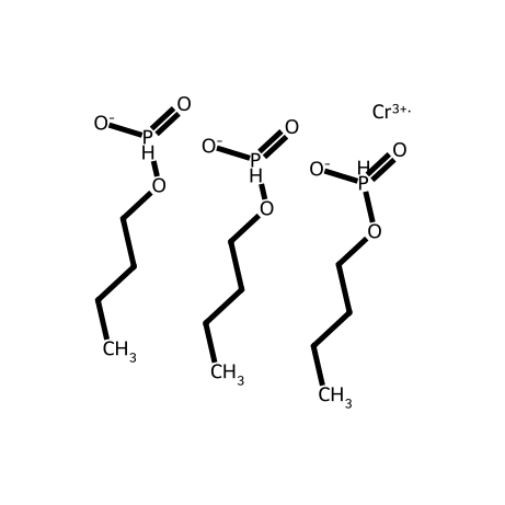 CCCCO[PH](=O)[O-].CCCCO[PH](=O)[O-].CCCCO[PH](=O)[O-].[Cr+3]